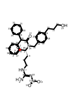 NC(=O)[C@@H](CCCNC(N)=N[N+](=O)[O-])N(Cc1ccc(CCCO)cc1)C(=O)C(c1ccccc1)c1ccccc1